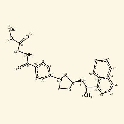 C[C@@H](N[C@H]1CCN(c2ccc(C(=O)NCC(=O)OC(C)(C)C)cc2)C1)c1cccc2ccccc12